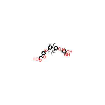 Cc1cc(OC[C@H]2C[C@@H](O)[C@H](O)CO2)cc(C)c1-c1cccc(COc2ccc3c(c2)OCC3CC(=O)O)c1